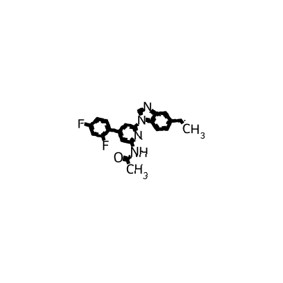 C[CH]c1ccc2c(c1)ncn2-c1cc(-c2ccc(F)cc2F)cc(NC(C)=O)n1